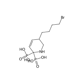 O=P(O)(O)C1(P(=O)(O)O)C=CC(CCCCBr)CN1